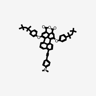 CN(C)c1ccc(C#Cc2ccc3c4c(Oc5ccc(C(C)(C)CC(C)(C)C)cc5)cc5c6c(cc(Oc7ccc(C(C)(C)CC(C)(C)C)cc7)c(c7cccc2c73)c64)C(=O)OC5=O)cc1